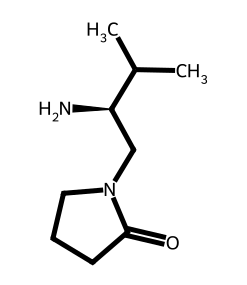 CC(C)[C@H](N)CN1CCCC1=O